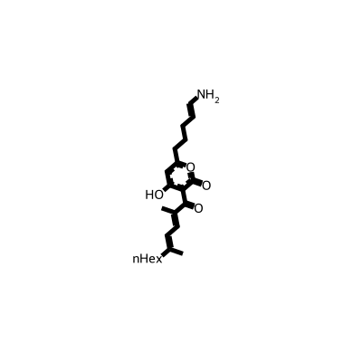 CCCCCC/C(C)=C/C=C(\C)C(=O)c1c(O)cc(CCC/C=C/N)oc1=O